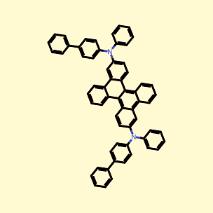 c1ccc(-c2ccc(N(c3ccccc3)c3ccc4c(c3)c3ccccc3c3c5ccc(N(c6ccccc6)c6ccc(-c7ccccc7)cc6)cc5c5ccccc5c43)cc2)cc1